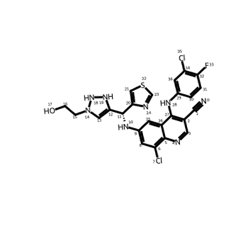 N#Cc1cnc2c(Cl)cc(N[C@H](C3=CN(CCO)NN3)c3cscn3)cc2c1Nc1ccc(F)c(Cl)c1